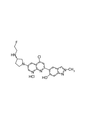 Cl.Cn1cc2cc(-c3cc(Cl)c4cc(N5CC[C@@H](NCCF)C5)cnc4n3)c(O)cc2n1